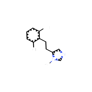 Cc1cccc(C)c1CCc1cncn1C(C)(C)C